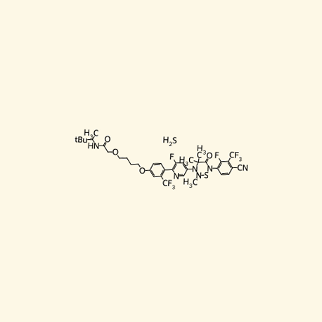 CC(NC(=O)COCCCCOc1ccc(-c2ncc(N3N(C)SN(c4ccc(C#N)c(C(F)(F)F)c4F)C(=O)C3(C)C)cc2F)c(C(F)(F)F)c1)C(C)(C)C.S